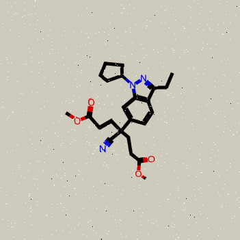 CCc1nn(C2CCCC2)c2cc(C(C#N)(CCC(=O)OC)CCC(=O)OC)ccc12